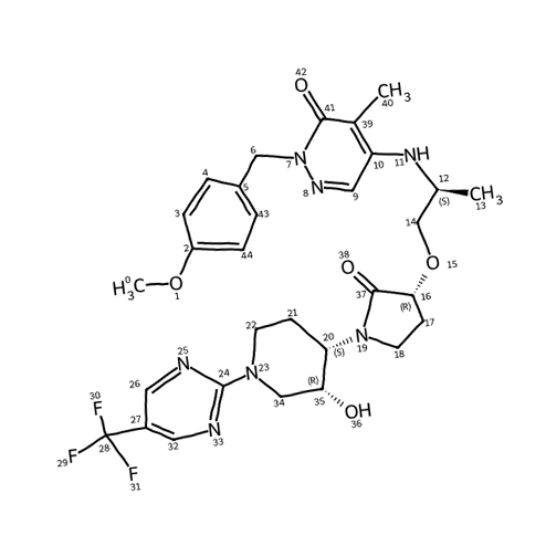 COc1ccc(Cn2ncc(N[C@@H](C)CO[C@@H]3CCN([C@H]4CCN(c5ncc(C(F)(F)F)cn5)C[C@H]4O)C3=O)c(C)c2=O)cc1